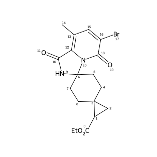 CCOC(=O)C1CC12CCC1(CC2)NC(=O)c2c(C)cc(Br)c(=O)n21